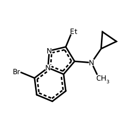 CCc1nn2c(Br)cccc2c1N(C)C1CC1